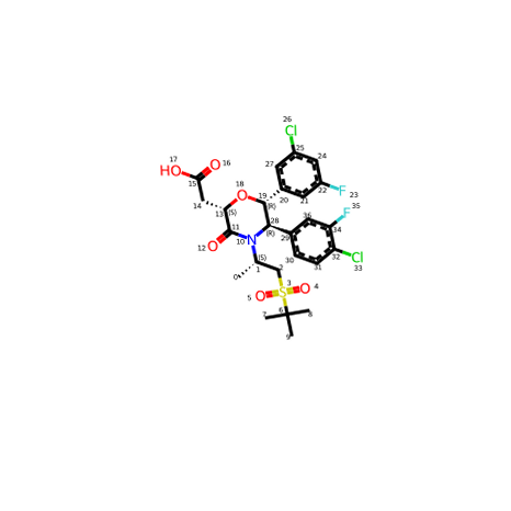 C[C@@H](CS(=O)(=O)C(C)(C)C)N1C(=O)[C@H](CC(=O)O)O[C@H](c2cc(F)cc(Cl)c2)[C@H]1c1ccc(Cl)c(F)c1